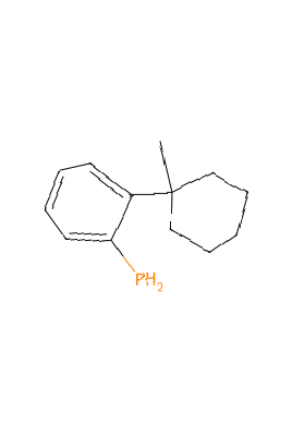 CC1(c2ccccc2P)CCCCC1